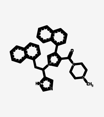 CN1CCN(C(=O)c2cn(C(Cc3cccc4ccccc34)c3cnc[nH]3)cc2-c2cccc3ccccc23)CC1